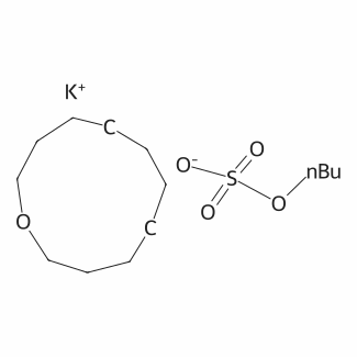 C1CCCCCOCCCC1.CCCCOS(=O)(=O)[O-].[K+]